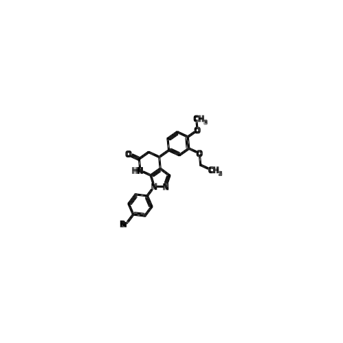 CCOc1cc(C2CC(=O)Nc3c2cnn3-c2ccc(Br)cc2)ccc1OC